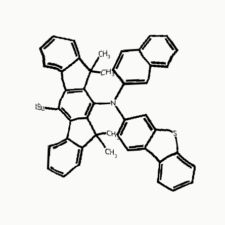 CC(C)(C)c1c2c(c(N(c3ccc4ccccc4c3)c3ccc4c(c3)sc3ccccc34)c3c1-c1ccccc1C3(C)C)C(C)(C)c1ccccc1-2